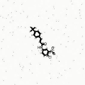 CC(C)(C)c1ccc(C=CC(=O)Nc2ccc(Cl)c([N+](=O)[O-])c2)cc1